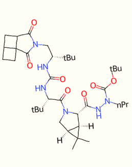 CCCN(NC(=O)[C@@H]1[C@@H]2[C@H](CN1C(=O)[C@@H](NC(=O)N[C@H](CN1C(=O)C3CC4CCC43C1=O)C(C)(C)C)C(C)(C)C)C2(C)C)C(=O)OC(C)(C)C